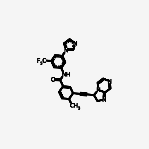 CC1C=CC(C(=O)Nc2cc(-n3ccnc3)cc(C(F)(F)F)c2)=CC1C#CC1CN=C2C=NC=CN21